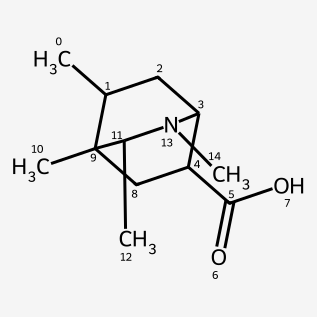 CC1CC2C(C(=O)O)CC1(C)C(C)N2C